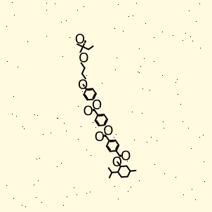 CCC1(COCCCCOc2ccc(OC(=O)c3ccc(OC(=O)c4ccc(C(=O)OC5CC(C)CCC5C(C)C)cc4)cc3)cc2)COC1